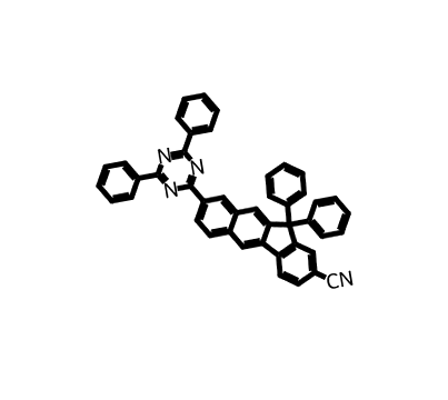 N#Cc1ccc2c(c1)C(c1ccccc1)(c1ccccc1)c1cc3cc(-c4nc(-c5ccccc5)nc(-c5ccccc5)n4)ccc3cc1-2